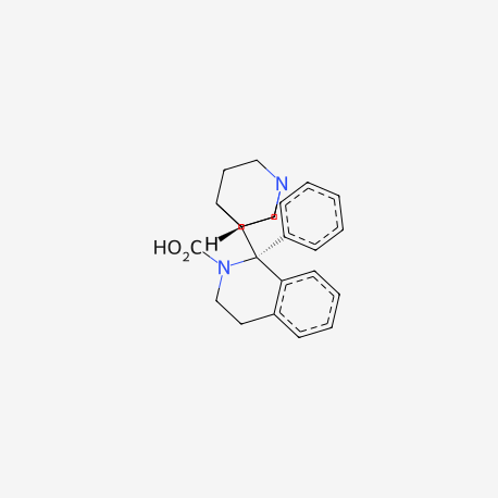 O=C(O)N1CCc2ccccc2[C@]1(c1ccccc1)[C@H]1CN2CCC1CC2